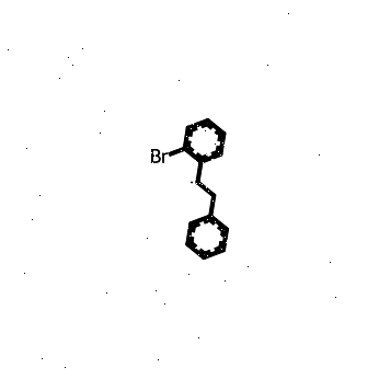 Brc1ccccc1[CH]Cc1ccccc1